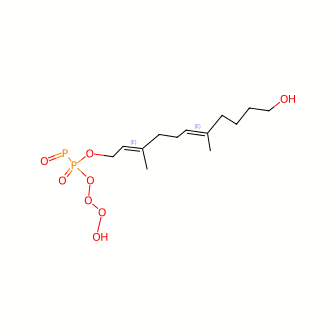 C/C(=C\COP(=O)(OOOO)P=O)CC/C=C(\C)CCCCO